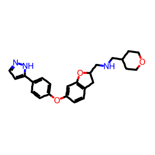 c1cc(-c2ccc(Oc3ccc4c(c3)OC(CNCC3CCOCC3)C4)cc2)[nH]n1